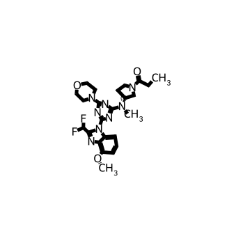 CCC(=O)N1CC[C@H](N(C)c2nc(N3CCOCC3)nc(-n3c(C(F)F)nc4c(OC)cccc43)n2)C1